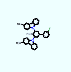 CC(C)(C)c1ccc2c(c1)c1ccccc1n2-c1cc(-c2cccc(F)c2)cc(-n2c3ccccc3c3cc(C(C)(C)C)ccc32)c1C#N